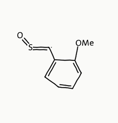 COc1ccccc1[C]=S=O